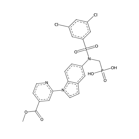 COC(=O)c1ccnc(-n2ccc3cc(N(CP(=O)(O)O)S(=O)(=O)c4cc(Cl)cc(Cl)c4)ccc32)c1